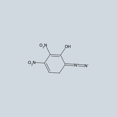 [N-]=[N+]=C1CC=C([N+](=O)[O-])C([N+](=O)[O-])=C1O